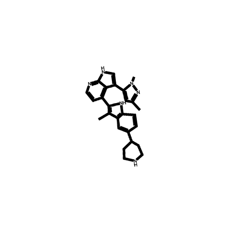 Cc1cc(-c2c[nH]c3nccc(-c4[nH]c5ccc(C6CCNCC6)cc5c4C)c23)n(C)n1